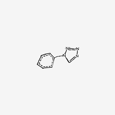 C1=NN=[N+]N1c1ccccc1